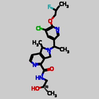 CC(F)COc1ncc(C(C)N2Cc3c(ccnc3C(=O)NC[C@H](C)O)C2C)cc1Cl